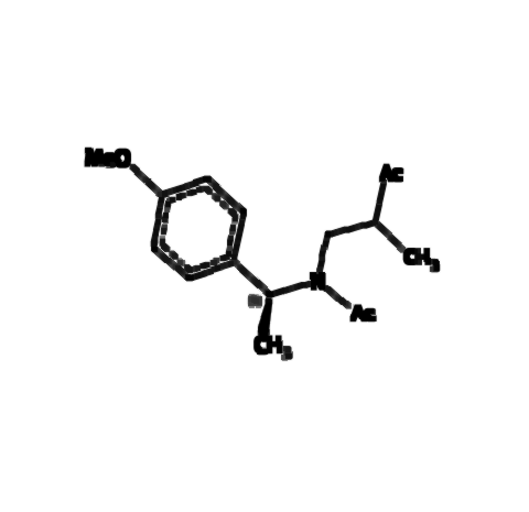 COc1ccc([C@H](C)N(CC(C)C(C)=O)C(C)=O)cc1